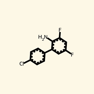 Nc1c(F)cc(F)cc1-c1ccc(Cl)cc1